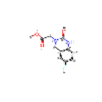 COC(=O)CN1Cc2cc(F)ccc2NC1=O